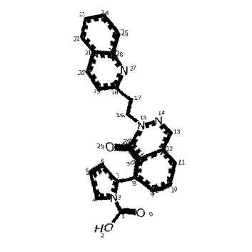 O=C(O)n1cccc1-c1cccc2cnn(CCc3ccc4ccccc4n3)c(=O)c12